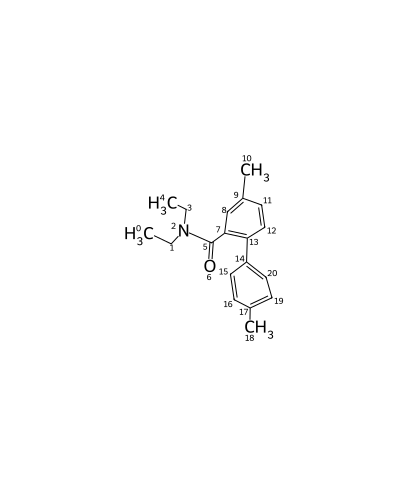 CCN(CC)C(=O)c1cc(C)ccc1-c1ccc(C)cc1